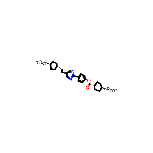 CCCCCCCC[C@H]1CC[C@H](CCc2cnc(-c3ccc(OC(=O)[C@H]4CC[C@H](CCCCC)CC4)cc3)nc2)CC1